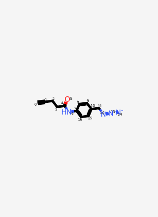 C#CCCC(=O)Nc1ccc(CN=[N+]=[N-])cc1